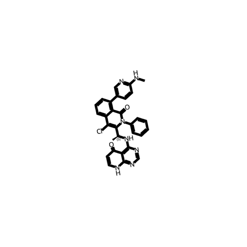 CNc1ccc(-c2cccc3c(Cl)c([C@H](C)Nc4ncnc5[nH]ccc(=O)c45)n(-c4ccccc4)c(=O)c23)cn1